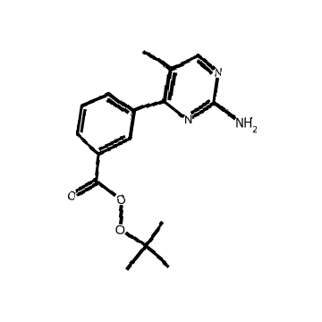 Cc1cnc(N)nc1-c1cccc(C(=O)OOC(C)(C)C)c1